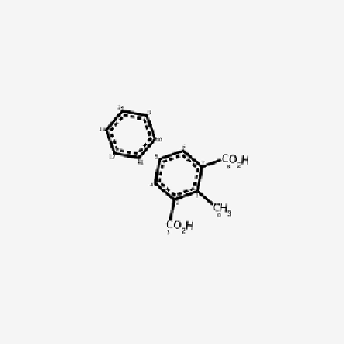 Cc1c(C(=O)O)cccc1C(=O)O.c1ccccc1